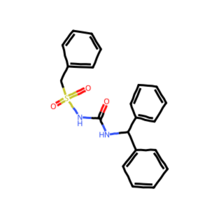 O=C(NC(c1ccccc1)c1ccccc1)NS(=O)(=O)Cc1ccccc1